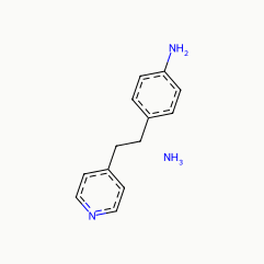 N.Nc1ccc(CCc2ccncc2)cc1